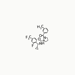 Cc1cccc(C(=O)N2CCC[C@@H]2C(=O)NC(c2ccc(C(F)(F)F)cc2F)C2CC2)c1